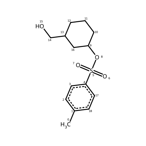 Cc1ccc(S(=O)(=O)OC2CCCC(CO)C2)cc1